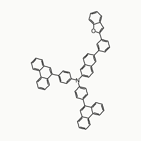 c1cc(-c2ccc3cc(N(c4ccc(-c5cc6ccccc6c6ccccc56)cc4)c4ccc(-c5cc6ccccc6c6ccccc56)cc4)ccc3c2)cc(-c2cc3ccccc3o2)c1